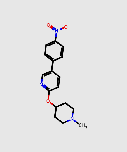 CN1CCC(Oc2ccc(-c3ccc([N+](=O)[O-])cc3)cn2)CC1